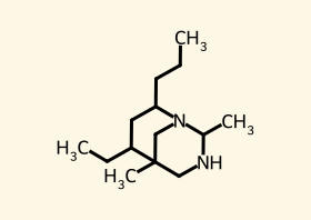 CCCC1CC(CC)C2(C)CNC(C)N1C2